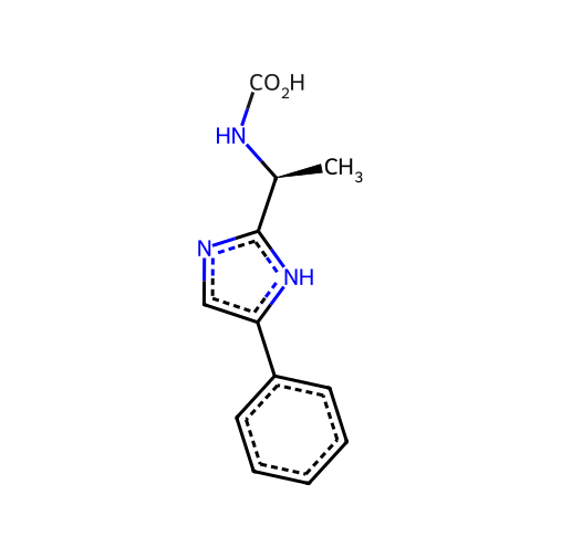 C[C@H](NC(=O)O)c1ncc(-c2ccccc2)[nH]1